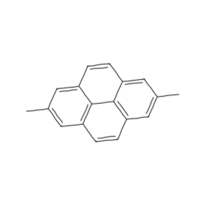 Cc1cc2ccc3cc(C)cc4ccc(c1)c2c34